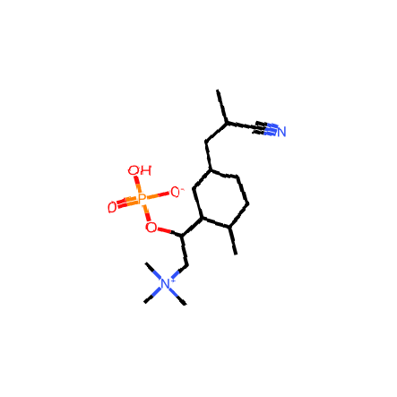 CC(C#N)CC1CCC(C)C(C(C[N+](C)(C)C)OP(=O)([O-])O)C1